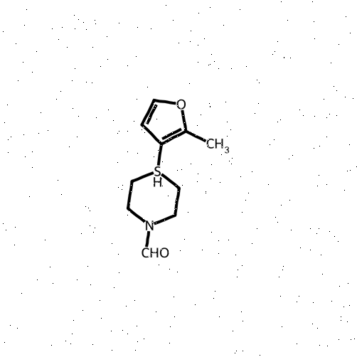 Cc1occc1[SH]1CCN(C=O)CC1